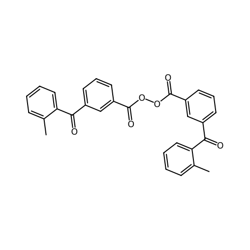 Cc1ccccc1C(=O)c1cccc(C(=O)OOC(=O)c2cccc(C(=O)c3ccccc3C)c2)c1